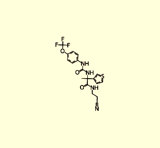 CC(NC(=O)Nc1ccc(OC(F)(F)F)cc1)(C(=O)NCCC#N)c1ccsc1